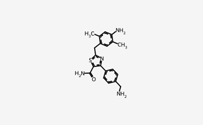 Cc1cc(Cc2nc(-c3ccc(CN)cc3)c(C(N)=O)s2)c(C)cc1N